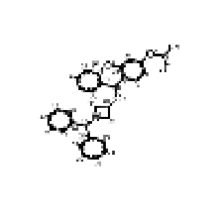 FC(F)Oc1ccc(C(OC2CN(C(c3ccccc3)c3ccccc3)C2)c2ccccc2)c(C(F)(F)F)c1